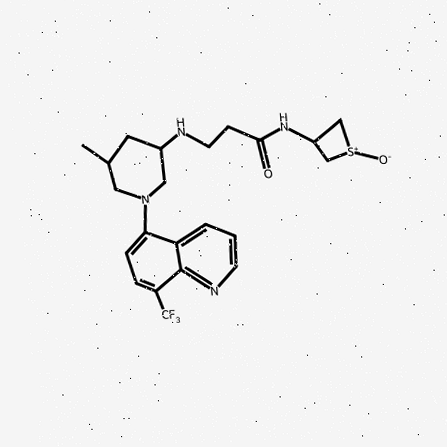 CC1CC(NCCC(=O)NC2C[S+]([O-])C2)CN(c2ccc(C(F)(F)F)c3ncccc23)C1